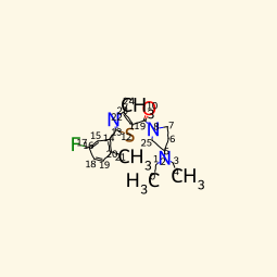 CCN(CC)C1CCN(C(=O)c2sc(-c3cc(F)ccc3C)nc2C)C1